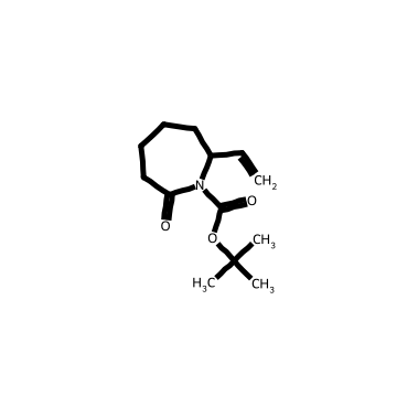 C=CC1CCCCC(=O)N1C(=O)OC(C)(C)C